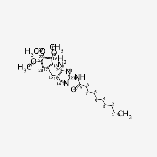 CCCCCCCCCC(=O)Nc1ncc(Cc2cc(OC)c(OC)c(OC)c2)c(N)n1